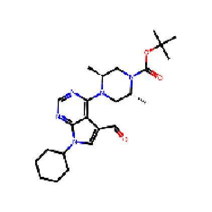 C[C@@H]1CN(c2ncnc3c2c(C=O)cn3C2CCCCC2)[C@@H](C)CN1C(=O)OC(C)(C)C